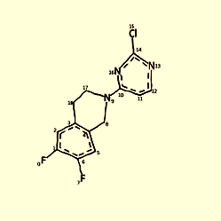 Fc1cc2c(cc1F)CN(c1ccnc(Cl)n1)CC2